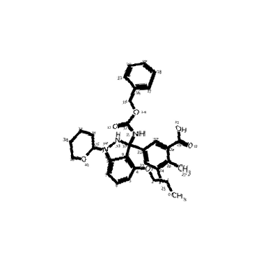 CCCOc1cccc2c1C(NC(=O)OCc1ccccc1)(c1cc(F)c(C)c(C(=O)O)c1)NN2C1CCCCO1